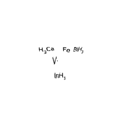 [BiH3].[CaH2].[Fe].[InH3].[V]